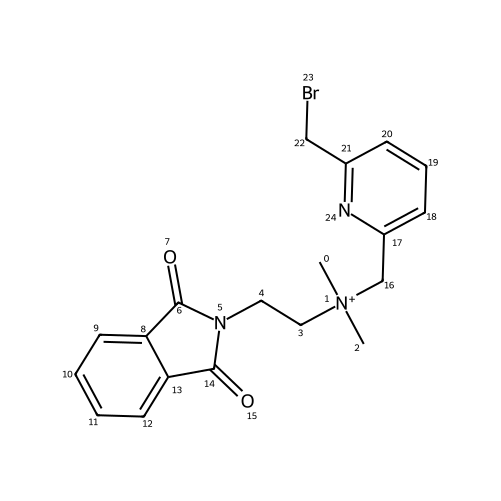 C[N+](C)(CCN1C(=O)c2ccccc2C1=O)Cc1cccc(CBr)n1